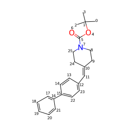 CC(C)(C)OC(=O)N1CCC(=Cc2ccc(-c3ccccc3)cc2)CC1